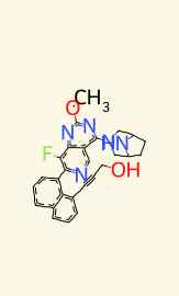 COc1nc(N2CC3CCC(C2)N3)c2cnc(-c3cccc4cccc(C#CCO)c34)c(F)c2n1